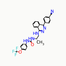 C[C@@H](CNc1nnc(-c2ccc(C#N)cc2)c2ccccc12)NC(=O)Nc1ccc(OC(F)(F)F)cc1